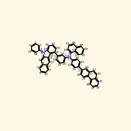 c1ccc(-n2c3cc4ccccc4cc3c3c(-c4cccc(N(c5ccc(-c6ccc7c(ccc8ccccc87)c6)cc5)c5cccc6ccccc56)c4)cccc32)cc1